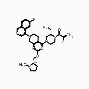 C=C(F)C(=O)N1CCN(c2nc(OC[C@@H]3CCCN3C)nc3c2CCN(c2cncc4ccc(F)cc24)C3)C[C@@H]1CC#N